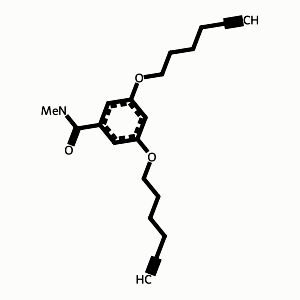 C#CCCCCOc1cc(OCCCCC#C)cc(C(=O)NC)c1